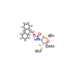 COC(=O)[C@H](CSC(C)(C)C)[C@H](CSC(C)(C)C)NC(=O)OCC1c2ccccc2-c2ccccc21